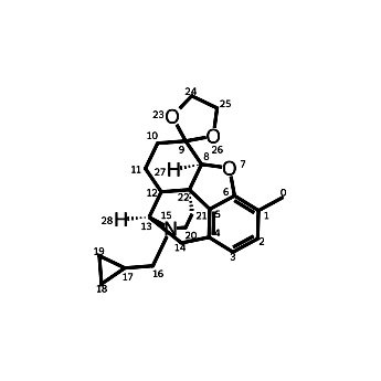 Cc1ccc2c3c1O[C@@H]1C4(CCC5[C@H](C2)N(CC2CC2)CC[C@]351)OCCO4